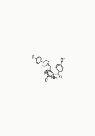 COc1ccc(C(=O)c2[nH]c(=O)[nH]c2CN2CCC(c3ccc(F)cc3)CC2)cc1